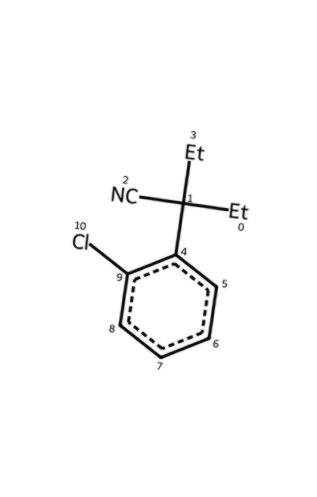 CCC(C#N)(CC)c1ccccc1Cl